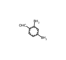 Bc1ccc(C=O)c(B)c1